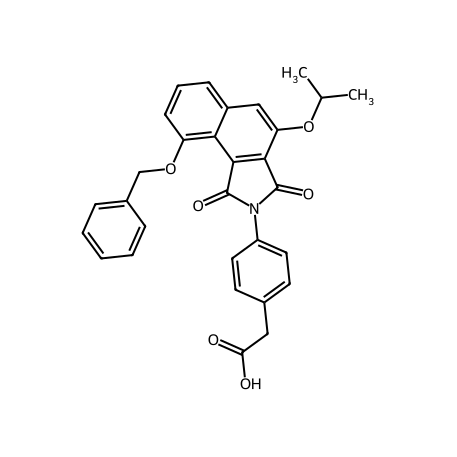 CC(C)Oc1cc2cccc(OCc3ccccc3)c2c2c1C(=O)N(c1ccc(CC(=O)O)cc1)C2=O